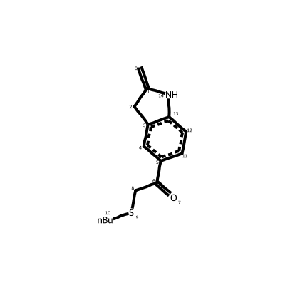 C=C1Cc2cc(C(=O)CSCCCC)ccc2N1